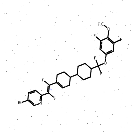 CCc1ccc(/C(F)=C(\F)C2=CCC(C3CCC(C(F)(F)Oc4cc(F)c(OC(F)(F)F)c(F)c4)CC3)CC2)nc1